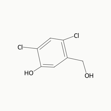 OCc1cc(O)c(Cl)cc1Cl